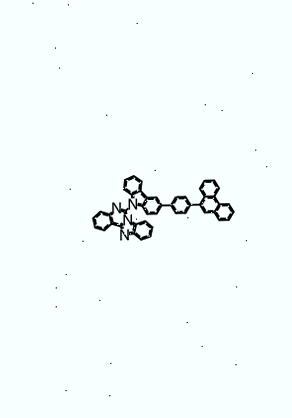 c1ccc2c(c1)cc(-c1ccc(-c3ccc4c(c3)c3ccccc3n4-c3nc4ccccc4c4nc5ccccc5n34)cc1)c1ccccc12